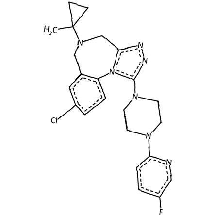 CC1(N2Cc3cc(Cl)ccc3-n3c(nnc3N3CCN(c4ccc(F)cn4)CC3)C2)CC1